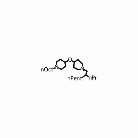 CCCCCCCCN1CCC(OC2CCN(CC(CCC)CCCCC)CC2)CC1